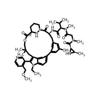 CCn1c(-c2cnccc2COC)c2c3cc(ccc31)-c1cc(O)cc(c1)C[C@H](NC(=O)C(C(C)C)N(C)C(=O)CN(C)C(=O)[C@@H]1N[C@@H]1C)C(=O)N1CCC[C@H](N1)C(=O)OCC(C)(C)C2